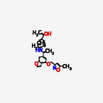 C=C(/C=C\C(=C/C)C(=C)O)NC(=C)c1cc(OCc2cc(C)on2)c2ccoc2c1